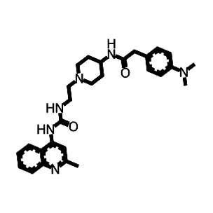 Cc1cc(NC(=O)NCCN2CCC(NC(=O)Cc3ccc(N(C)C)cc3)CC2)c2ccccc2n1